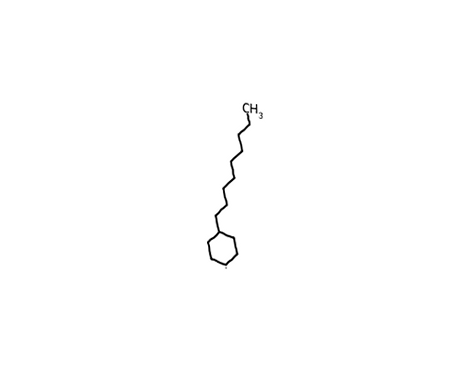 CCCCCCCCCC1CC[CH]CC1